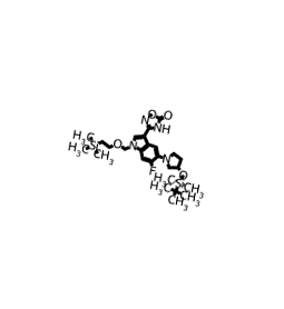 CC(C)(C)[Si](C)(C)OC1CCN(c2cc3c(-c4noc(=O)[nH]4)cn(COCC[Si](C)(C)C)c3cc2F)C1